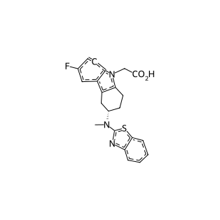 CN(c1nc2ccccc2s1)[C@H]1CCc2c(c3cc(F)ccc3n2CC(=O)O)C1